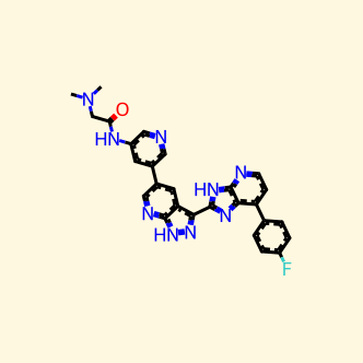 CN(C)CC(=O)Nc1cncc(-c2cnc3[nH]nc(-c4nc5c(-c6ccc(F)cc6)ccnc5[nH]4)c3c2)c1